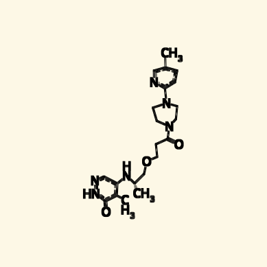 Cc1ccc(N2CCN(C(=O)CCOC[C@H](C)Nc3cn[nH]c(=O)c3C)CC2)nc1